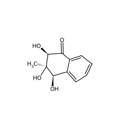 C[C@@]1(O)[C@H](O)c2ccccc2C(=O)[C@@H]1O